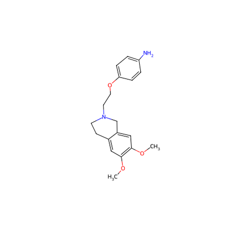 COc1cc2c(cc1OC)CN(CCOc1ccc(N)cc1)CC2